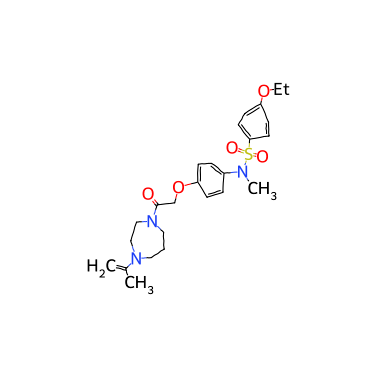 C=C(C)N1CCCN(C(=O)COc2ccc(N(C)S(=O)(=O)c3ccc(OCC)cc3)cc2)CC1